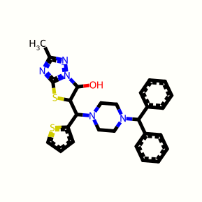 Cc1nc2n(n1)C(O)C(C(c1cccs1)N1CCN(C(c3ccccc3)c3ccccc3)CC1)S2